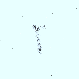 c1ccc(-c2ccc3c(c2)c2cc(-c4ccc(-c5ccc(-c6ccc(-c7nc8ccccc8o7)cc6)cc5)cc4)ccc2n3-c2ccccc2)cc1